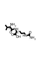 CC(C)[C@H](N)C(=O)N[C@H](CCCNC(N)=O)C(=O)O